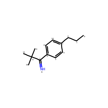 CCCc1ccc(C(=N)C(C)(C)C)cc1